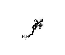 CCCCC(Cc1ccc(C#CCCCN)cc1)(N[SH](=O)=O)C(=O)O